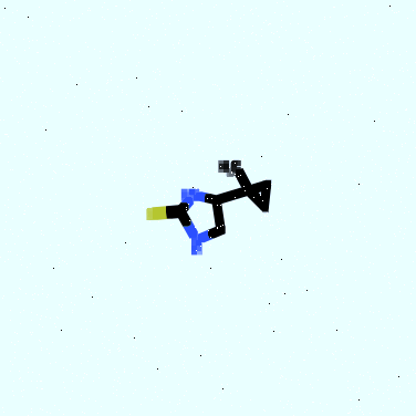 CC1(C2CNC(=S)N2)CC1